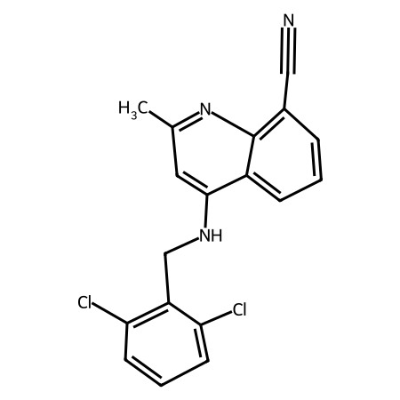 Cc1cc(NCc2c(Cl)cccc2Cl)c2cccc(C#N)c2n1